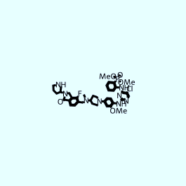 COc1cc(N2CCC(N(C)Cc3ccc4c(c3F)CN(C3CCCNC3)C4=O)CC2)ccc1Nc1ncc(Cl)c(Nc2ccccc2P(=O)(OC)OC)n1